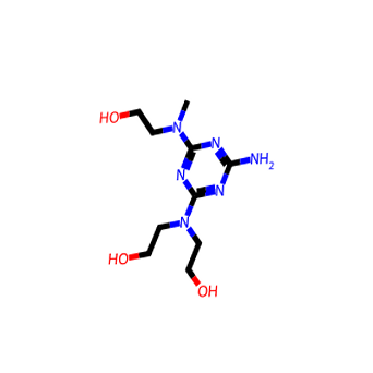 CN(CCO)c1nc(N)nc(N(CCO)CCO)n1